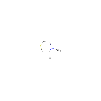 CC(C)C1CSCCN1C